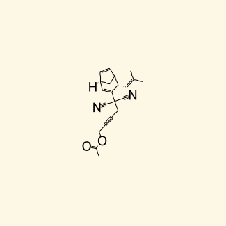 CC(=O)OCC#CCC(C#N)(C#N)C1=C[C@H]2C=CC(C2)[C@@H]1C=C(C)C